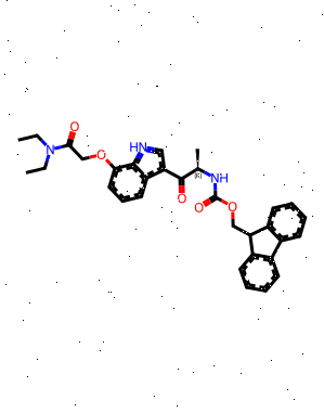 CCN(CC)C(=O)COc1cccc2c(C(=O)[C@@H](C)NC(=O)OCC3c4ccccc4-c4ccccc43)c[nH]c12